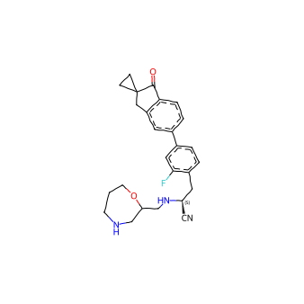 N#C[C@H](Cc1ccc(-c2ccc3c(c2)CC2(CC2)C3=O)cc1F)NCC1CNCCCO1